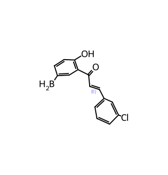 Bc1ccc(O)c(C(=O)/C=C/c2cccc(Cl)c2)c1